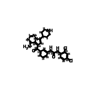 Nc1ncnn2c(C3CCNCC3)cc(C(=O)c3cccc(NC(=O)Nc4ccc(Cl)cc4Cl)c3)c12